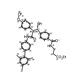 CCC[C@@H](c1ccc(C(=O)NCCC(=O)OCC)cc1)[C@@H](C(=O)Nc1ccc(-c2c(C)cc(C)cc2C)cc1)c1ccc(OC(F)(F)F)cc1